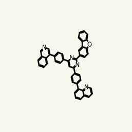 c1ccc2c(-c3ccc(-c4cc(-c5ccc(-c6cccc7cccnc67)cc5)nc(-c5ccc6oc7ccccc7c6c5)n4)cc3)cncc2c1